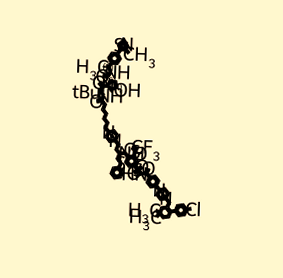 Cc1ncsc1-c1ccc([C@H](C)NC(=O)[C@@H]2C[C@@H](O)CN2C(=O)C(NC(=O)CCCCCCN2CCN(CCC(CSc3ccccc3)Nc3ccc(S(=O)(=O)NC(=O)c4ccc(N5CCN(CC6=C(c7ccc(Cl)cc7)CCC(C)(C)C6)CC5)cc4)cc3S(=O)(=O)C(F)(F)F)CC2)C(C)(C)C)cc1